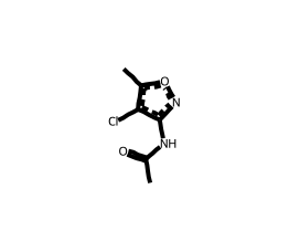 CC(=O)Nc1noc(C)c1Cl